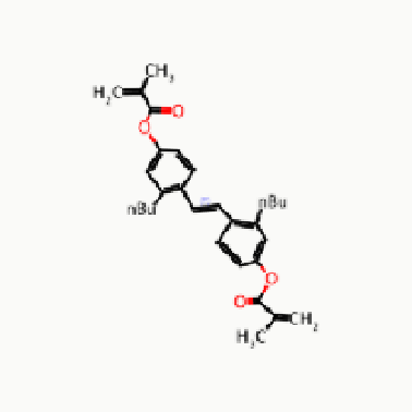 C=C(C)C(=O)Oc1ccc(/C=C/c2ccc(OC(=O)C(=C)C)cc2CCCC)c(CCCC)c1